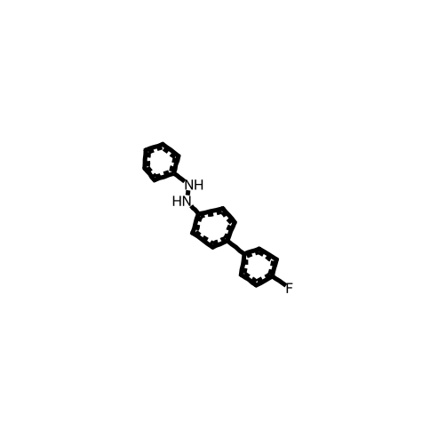 Fc1ccc(-c2ccc(NNc3ccccc3)cc2)cc1